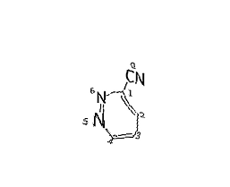 N#Cc1cc[c]nn1